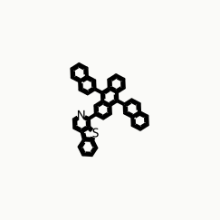 c1ccc2cc(-c3c4ccccc4c(-c4ccc5ccccc5c4)c4cc(-c5nccc6c5sc5ccccc56)ccc34)ccc2c1